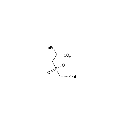 CCCC(C)CP(=O)(O)CC(CCC)C(=O)O